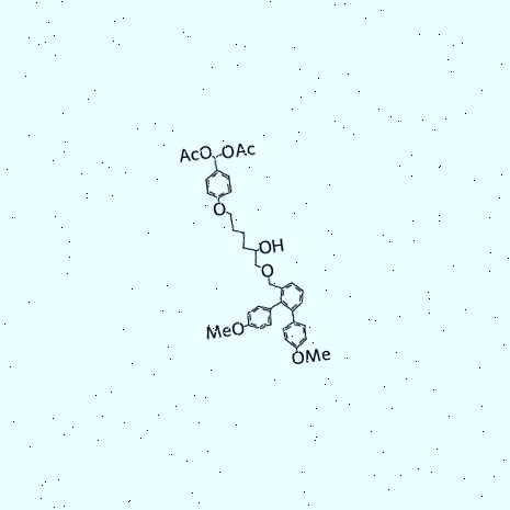 COc1ccc(-c2cccc(COCC(O)CCCCOc3ccc(C(OC(C)=O)OC(C)=O)cc3)c2-c2ccc(OC)cc2)cc1